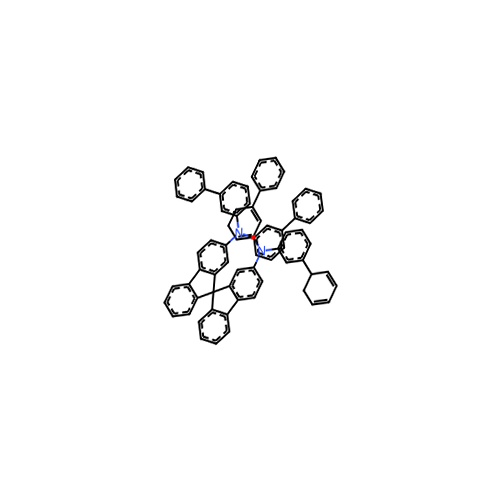 C1=CCC(c2cccc(N(C3=CCCC(c4ccccc4)=C3)c3ccc4c(c3)C3(c5ccccc5-4)c4ccccc4-c4ccc(N(c5cccc(-c6ccccc6)c5)c5cccc(-c6ccccc6)c5)cc43)c2)C=C1